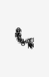 Cc1nnn(Cc2cc(Cl)ccc2C=CC(=O)N2CCN(Cc3cnc(N4CCOCC4)nc3)CC2)n1